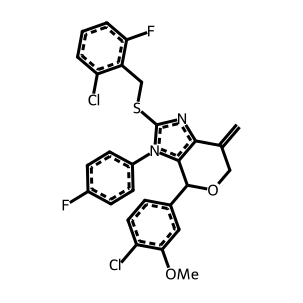 C=C1COC(c2ccc(Cl)c(OC)c2)c2c1nc(SCc1c(F)cccc1Cl)n2-c1ccc(F)cc1